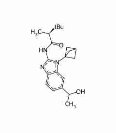 CC(O)c1ccc2nc(NC(=O)[C@@H](C)C(C)(C)C)n(C34CC(C3)C4)c2c1